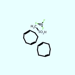 C1=CCCC=CCC1.C1=CCCC=CCC1.CS(=O)(=O)O.[F][Rh]([F])[F]